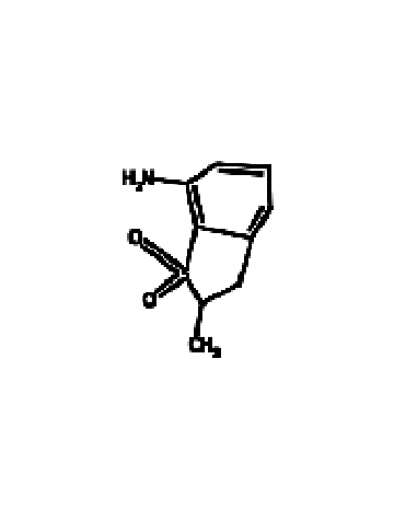 CC1Cc2cccc(N)c2S1(=O)=O